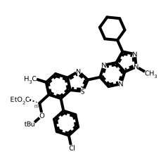 CCOC(=O)[C@@H](OC(C)(C)C)c1c(C)cc2nc(-c3cnc4c(n3)c(C3CCCCC3)nn4C)sc2c1-c1ccc(Cl)cc1